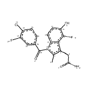 Cc1c(CC(N)=O)c2c(F)c(O)ccc2n1C(=O)c1ccc(Cl)c(F)c1